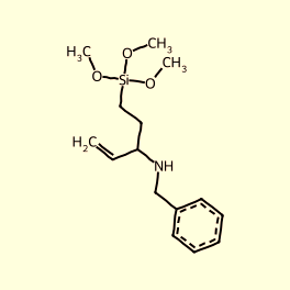 C=CC(CC[Si](OC)(OC)OC)NCc1ccccc1